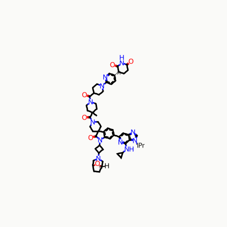 CC(C)n1cnc2cc(-c3ccc4c(c3)N(C3CC(N5CC6CC[C@@H](C5)O6)C3)C(=O)C43CCN(C(=O)C4(C)CCN(C(=O)C5CCN(c6ccc([C@H]7CCC(=O)NC7=O)cn6)CC5)CC4)CC3)nc(NC3CC3)c21